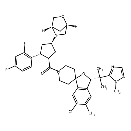 Cc1cc2c(cc1Cl)C1(CCN(C(=O)[C@@H]3C[C@H](N4C[C@@H]5C[C@H]4CO5)C[C@H]3c3ccc(F)cc3F)CC1)O[C@@H]2C(C)(C)c1ncnn1C